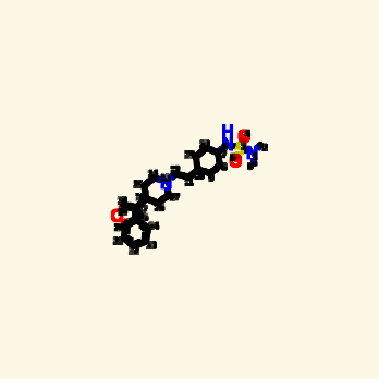 CN(C)S(=O)(=O)NC1CCC(CCN2CCC(c3coc4ccccc34)CC2)CC1